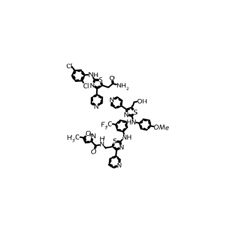 COc1ccc(Nc2nc(-c3ccncc3)c(CO)s2)cc1.Cc1cc(C(=O)NCc2sc(Nc3cccc(C(F)(F)F)c3)nc2-c2cccnc2)no1.NC(=O)Cc1sc(Nc2cc(Cl)ccc2Cl)nc1-c1ccncc1